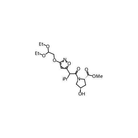 CCOC(COc1cc(C(C(=O)N2C[C@H](O)C[C@H]2C(=O)OC)C(C)C)on1)OCC